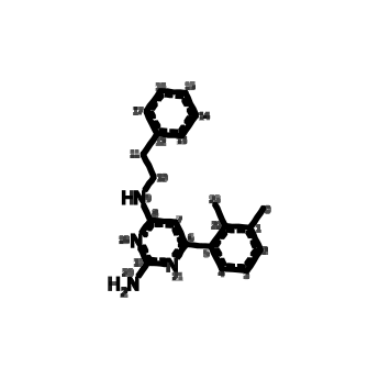 Cc1cccc(-c2cc(NCCc3ccccc3)nc(N)n2)c1C